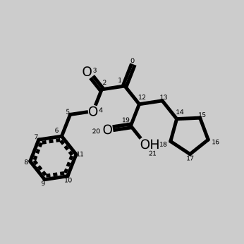 C=C(C(=O)OCc1ccccc1)C(CC1CCCC1)C(=O)O